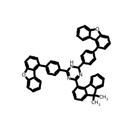 CC1(C)c2ccccc2-c2c(C3=NC(c4ccc(-c5cccc6oc7ccccc7c56)cc4)NC(c4ccc(-c5cccc6oc7ccccc7c56)cc4)=N3)cccc21